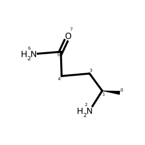 C[C@@H](N)CCC(N)=O